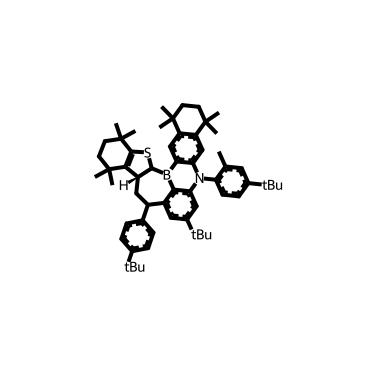 Cc1cc(C(C)(C)C)ccc1N1c2cc3c(cc2B2c4c(cc(C(C)(C)C)cc41)C(c1ccc(C(C)(C)C)cc1)C[C@@H]1C4=C(SC21)C(C)(C)CCC4(C)C)C(C)(C)CCC3(C)C